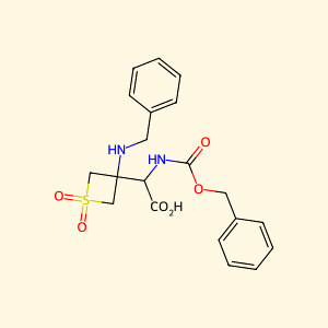 O=C(NC(C(=O)O)C1(NCc2ccccc2)CS(=O)(=O)C1)OCc1ccccc1